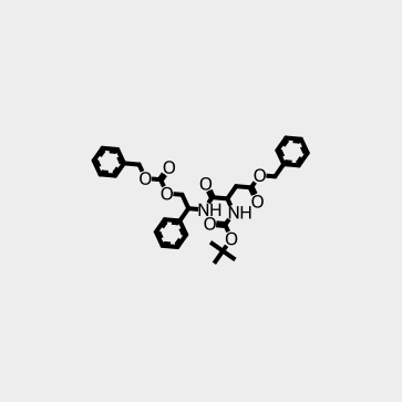 CC(C)(C)OC(=O)NC(CC(=O)OCc1ccccc1)C(=O)NC(COC(=O)OCc1ccccc1)c1ccccc1